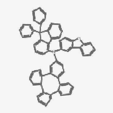 c1ccc(C2(c3ccccc3)c3ccccc3-c3c(N(c4ccc5c(c4)-c4ccccc4-c4ccccc4-c4ccccc4-5)c4ccc5oc6ccccc6c5c4)cccc32)cc1